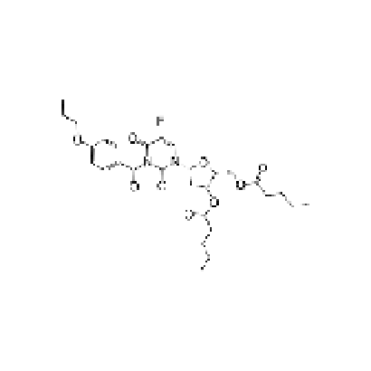 CCCCC(=O)OC[C@H]1O[C@@H](n2cc(F)c(=O)n(C(=O)c3ccc(OCCC)cc3)c2=O)C[C@@H]1OC(=O)CCCC